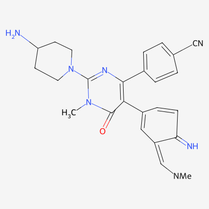 CN/C=C1/C=C(c2c(-c3ccc(C#N)cc3)nc(N3CCC(N)CC3)n(C)c2=O)C=CC1=N